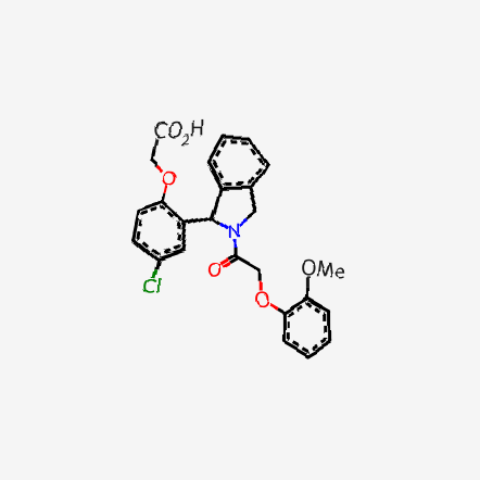 COc1ccccc1OCC(=O)N1Cc2ccccc2C1c1cc(Cl)ccc1OCC(=O)O